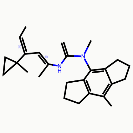 C=C(N/C(C)=C/C(=C\C)C1(C)CC1)N(C)c1c2c(c(C)c3c1CCC3)CCC2